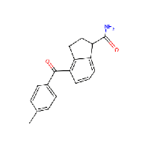 Cc1ccc(C(=O)c2cccc3c2CCC3C(N)=O)cc1